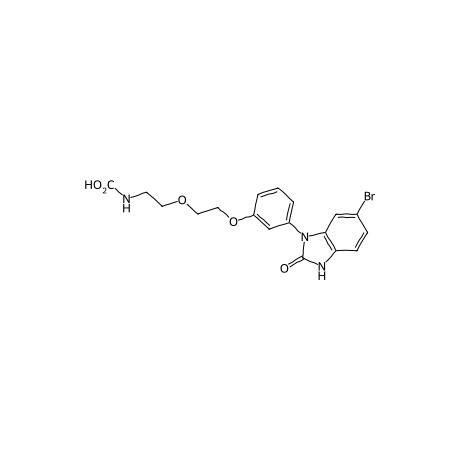 O=C(O)NCCOCCOc1cccc(-n2c(=O)[nH]c3ccc(Br)cc32)c1